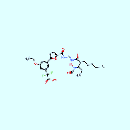 CCCCCC(C(=O)NCNC(=O)c1ccc(-c2cc(OCC)cc(C(F)(F)C(=O)O)c2)o1)[C@@H](CC)N(O)C=O